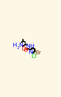 CC(C)C[C@H](NC(=O)c1ccc(Br)c(Cl)n1)C(N)=O